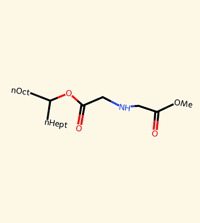 CCCCCCCCC(CCCCCCC)OC(=O)CNCC(=O)OC